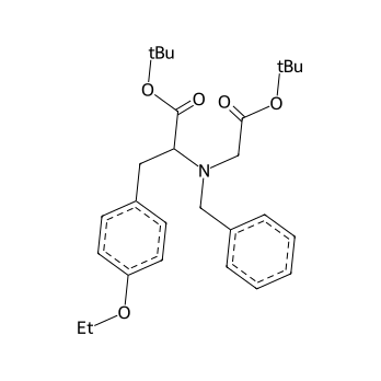 CCOc1ccc(CC(C(=O)OC(C)(C)C)N(CC(=O)OC(C)(C)C)Cc2ccccc2)cc1